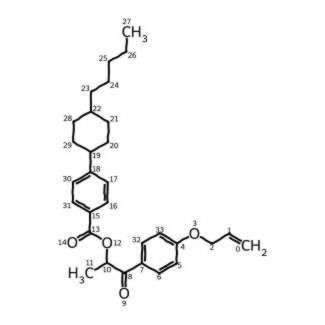 C=CCOc1ccc(C(=O)C(C)OC(=O)c2ccc(C3CCC(CCCCC)CC3)cc2)cc1